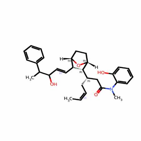 C/C=C\C[C@@H](CC(=O)N(C)c1ccccc1O)[C@@H]1C(/C=C/C(O)C(C)c2ccccc2)[C@@H]2CC[C@H]1O2